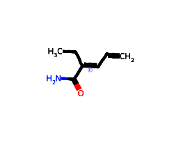 C=C/C=C(\CC)C(N)=O